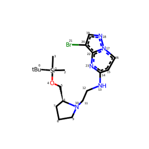 CC(C)(C)[Si](C)(C)OC[C@@H]1CCCN1CCNc1ccn2ncc(Br)c2n1